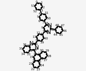 c1ccc(-c2ccc(-c3cc(-c4ccc(-c5nc(-c6cc7ccccc7c7ccccc67)c6ccccc6n5)cc4)nc(-c4ccccc4)n3)cc2)cc1